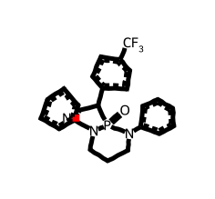 N#CCC(c1ccc(C(F)(F)F)cc1)P1(=O)N(c2ccccc2)CCCN1c1ccccc1